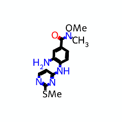 CON(C)C(=O)c1ccc(Nc2ccnc(SC)n2)c(N)c1